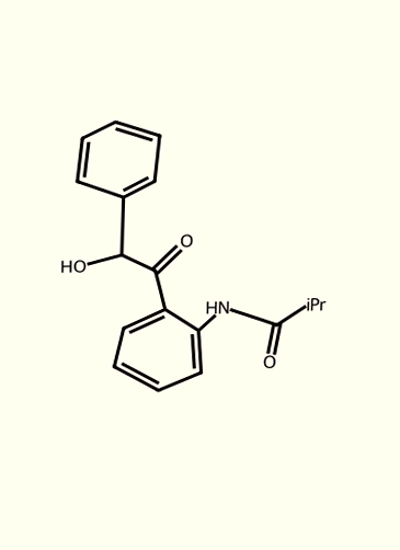 CC(C)C(=O)Nc1ccccc1C(=O)C(O)c1ccccc1